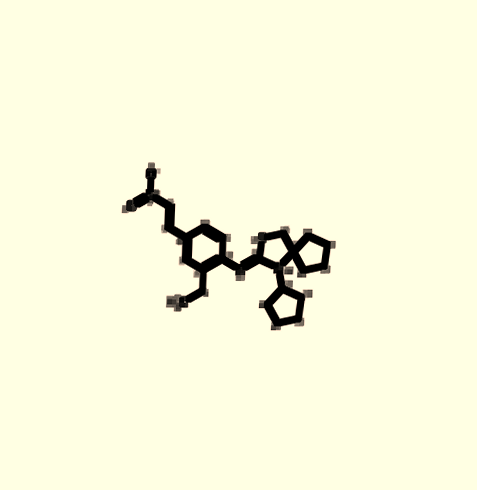 CCc1cc(C=C[N+](=O)[O-])ccc1N=C1SCC2(CCCC2)N1C1CCCC1